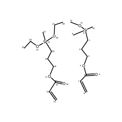 C=CC(=O)OCCC[Si](C)(C)OC.C=CC(=O)OCCC[Si](C)(OCC)OCC